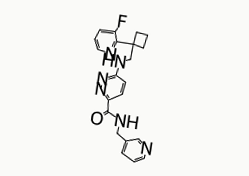 O=C(NCc1cccnc1)c1ccc(NCC2(c3ncccc3F)CCC2)nn1